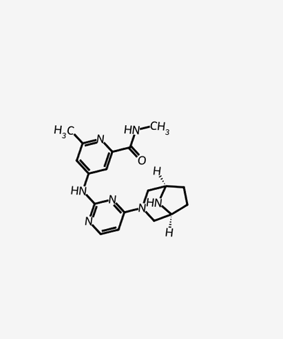 CNC(=O)c1cc(Nc2nccc(N3C[C@H]4CC[C@@H](C3)N4)n2)cc(C)n1